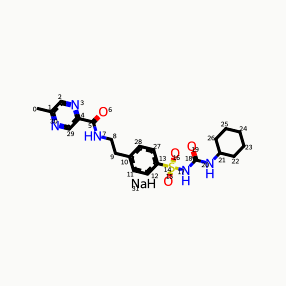 Cc1cnc(C(=O)NCCc2ccc(S(=O)(=O)NC(=O)NC3CCCCC3)cc2)cn1.[NaH]